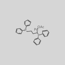 CC(=O)[O][Pd][CH](CCCP(c1ccccc1)c1ccccc1)P(c1ccccc1)c1ccccc1